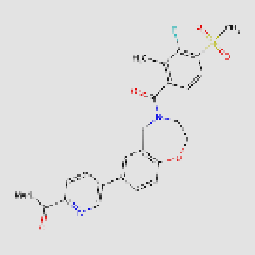 CNC(=O)c1ccc(-c2ccc3c(c2)CN(C(=O)c2ccc(S(C)(=O)=O)c(F)c2C)CCO3)cn1